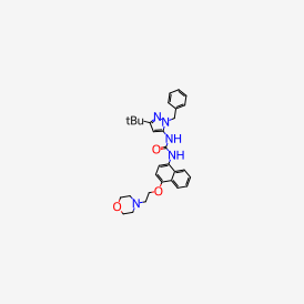 CC(C)(C)c1cc(NC(=O)Nc2ccc(OCCN3CCOCC3)c3ccccc23)n(Cc2ccccc2)n1